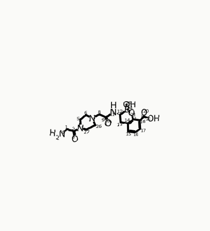 NCC(=O)N1CCN(CC(=O)N[C@H]2Cc3cccc(C(=O)O)c3OB2O)CC1